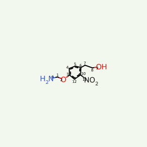 NCOc1ccc(CCO)c([N+](=O)[O-])c1